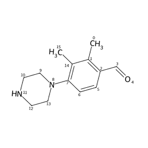 Cc1c(C=O)ccc(N2CCNCC2)c1C